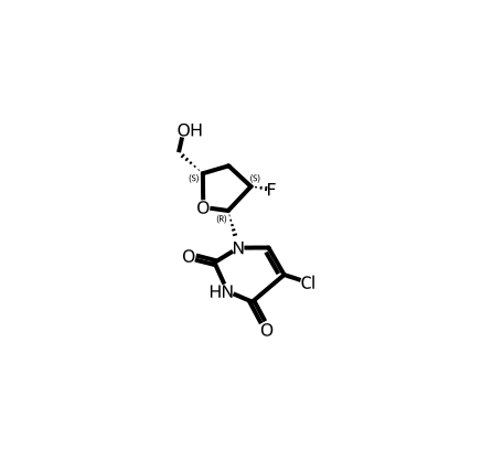 O=c1[nH]c(=O)n([C@@H]2O[C@H](CO)C[C@@H]2F)cc1Cl